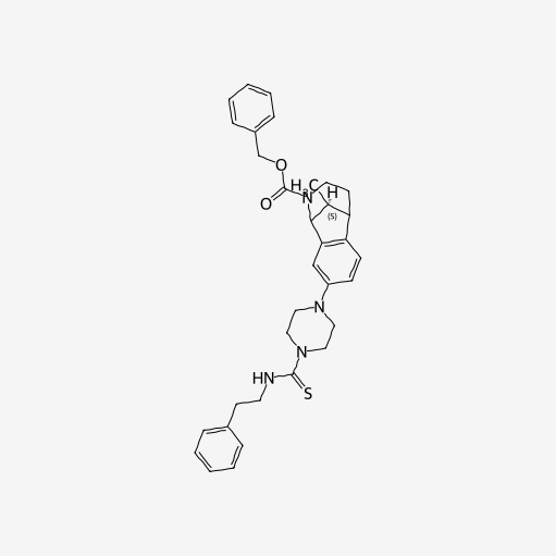 C[C@H]1C2CCN(C(=O)OCc3ccccc3)C1c1cc(N3CCN(C(=S)NCCc4ccccc4)CC3)ccc12